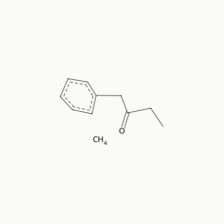 C.CCC(=O)Cc1ccccc1